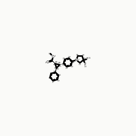 COC(=O)[C@@H]1[C@H](c2ccccc2)[C@H]1c1ccc(N2CCC(F)(F)C2)cc1